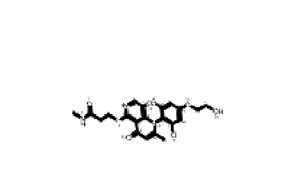 CNC(=O)CCOc1ncc(Cl)c2c1c(=O)cc(C)n2-c1c(Cl)cc(OCCO)cc1Cl